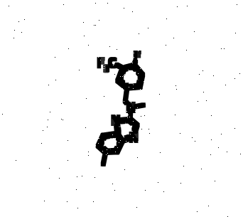 Cc1ccc2nc(N(C)Cc3ccc(F)c(C(F)(F)F)c3)cnc2c1